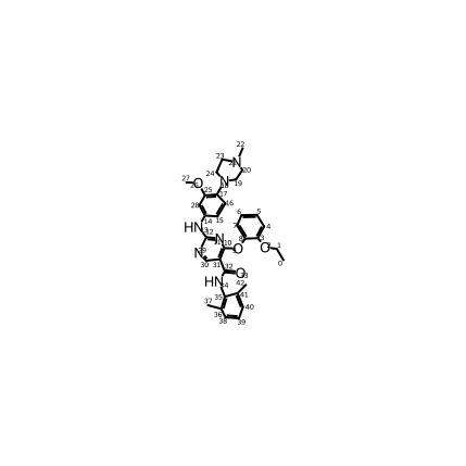 CCOc1ccccc1Oc1nc(Nc2ccc(N3CCN(C)CC3)c(OC)c2)ncc1C(=O)Nc1c(C)cccc1C